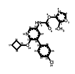 Cc1ocnc1OC(=O)Nc1cnc(OC2CCC2)c(-c2ccc(Cl)cc2)c1